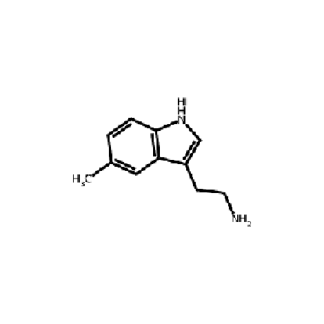 Cc1ccc2[nH]cc(CCN)c2c1.I